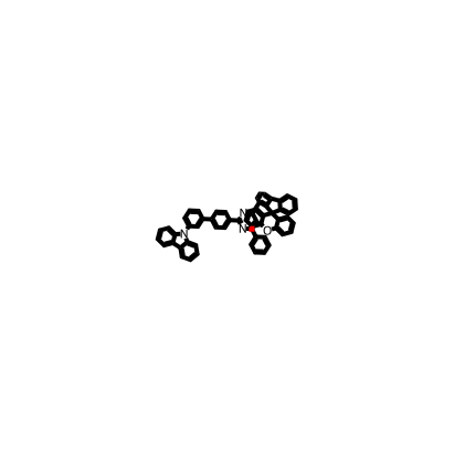 c1ccc(-c2cc(-c3cccc4c3C3(c5ccccc5Oc5ccccc53)c3ccccc3-4)nc(-c3ccc(-c4cccc(-n5c6ccccc6c6ccccc65)c4)cc3)n2)cc1